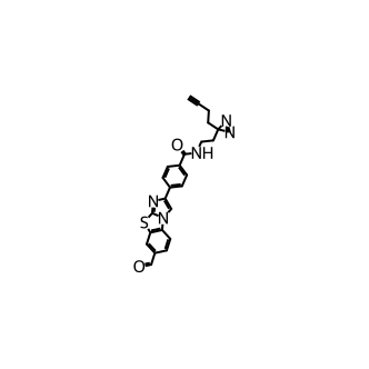 C#CCCC1(CCNC(=O)c2ccc(-c3cn4c(n3)sc3cc(C=O)ccc34)cc2)N=N1